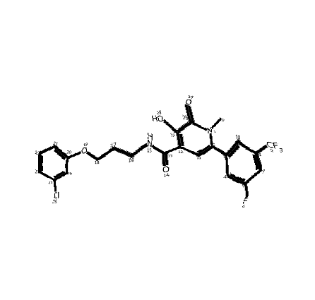 Cn1c(-c2cc(F)cc(C(F)(F)F)c2)cc(C(=O)NCCCOc2cccc(Cl)c2)c(O)c1=O